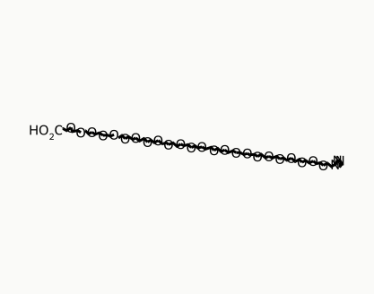 O=C(O)CCOCCOCCOCCOCCOCCOCCOCCOCCOCCOCCOCCOCCOCCOCCOCCOCCOCCOCCOCCOCCOCCOCCOCCOCCn1ccnn1